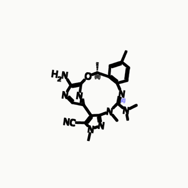 Cc1ccc2c(c1)[C@@H](C)Oc1nc(cnc1N)-c1c(nn(C)c1C#N)N(C)/C(N(C)C)=N\2